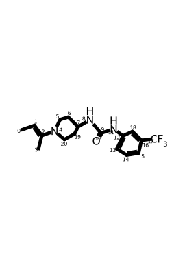 C/C=C(\C)N1CCC(NC(=O)Nc2cccc(C(F)(F)F)c2)CC1